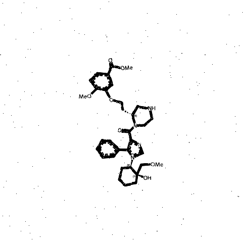 COC[C@]1(O)CCCC[C@H]1n1cnc(C(=O)N2CCNC[C@H]2CCOc2cc(C(=O)OC)ccc2OC)c1-c1ccccc1